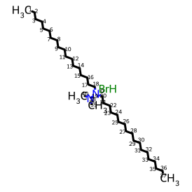 Br.CCCCCCCCCCCCCCCCCCN(CCCCCCCCCCCCCCCCCC)N(C)C